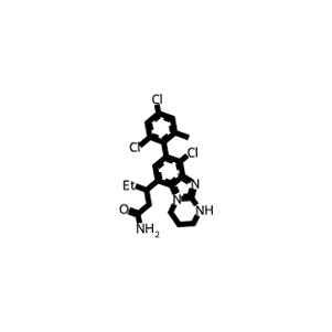 CCC(CC(N)=O)c1cc(-c2c(C)cc(Cl)cc2Cl)c(Cl)c2nc3n(c12)CCCN3